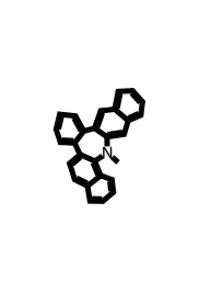 CN1c2cc3ccccc3cc2-c2ccccc2-c2ccc3ccccc3c21